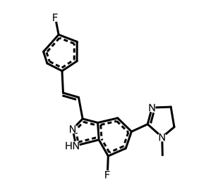 CN1CCN=C1c1cc(F)c2[nH]nc(C=Cc3ccc(F)cc3)c2c1